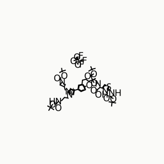 CC(C)(C)OC(=O)NCCCn1cc(-c2ccc3c(c2)CCC(C(C)(ON=C(C(=O)O)c2csc(NC(=O)OC(C)(C)C)n2)C(=O)OC(C)(C)C)O3)c[n+]1CC1CN(C(=O)OC(C)(C)C)C1.O=S(=O)([O-])C(F)(F)F